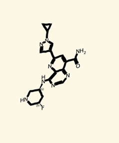 NC(=O)c1cc(-c2cnn(C3CC3)c2)nc2c(N[C@@H]3CNC[C@@H](F)C3)ncnc12